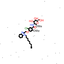 C#CCCCCCCCn1c(COc2cc(OC)c(C(=O)N[C@H]3[C@@H](OC)O[C@H](CO)[C@@H](O)[C@@H]3O)cc2Cl)nc2ccccc21